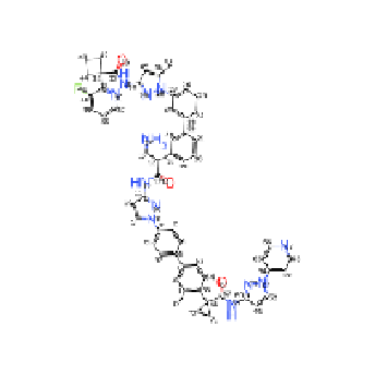 Cc1cc(-c2ccc(-n3ccc(NC(=O)C(CN)c4cccc(-c5cccc(-n6nc(NC(=O)C7(c8ncccc8F)CCC7)cc6C)c5)c4)n3)cc2)ccc1C1(C(=O)Nc2ccn(-c3ccncc3)n2)CC1